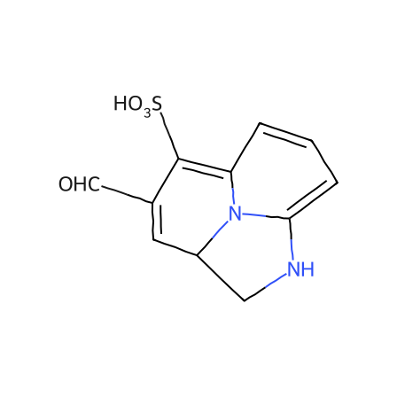 O=CC1=CC2CNC3=CC=CC(=C1S(=O)(=O)O)N32